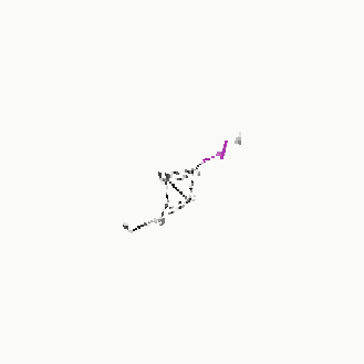 CC1=C2C(I)=C12